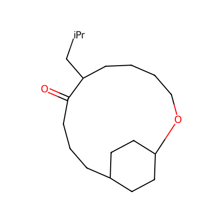 CC(C)CC1CCCCOC2CCC(CCCC1=O)CC2